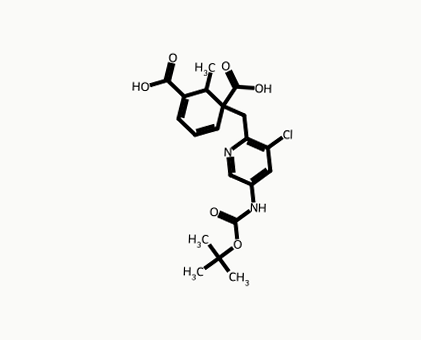 CC1C(C(=O)O)=CC=CC1(Cc1ncc(NC(=O)OC(C)(C)C)cc1Cl)C(=O)O